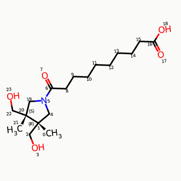 C[C@]1(CO)CN(C(=O)CCCCCCCCC(=O)O)C[C@@]1(C)CO